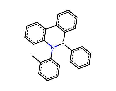 Cc1ccccc1N1B(c2ccccc2)c2ccccc2-c2ccccc21